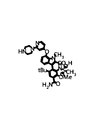 COc1c(C(N)=O)cc(C(C)(C)C)c(-c2c(C(=O)O)n(C)c3c(Oc4ccnc(N5CCNCC5)c4)cccc23)c1NS(C)(=O)=O